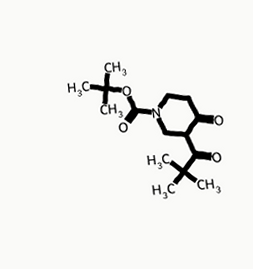 CC(C)(C)OC(=O)N1CCC(=O)C(C(=O)C(C)(C)C)C1